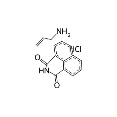 C=CCN.Cl.O=C1NC(=O)c2cccc3cccc1c23